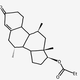 CCC(=O)O[C@H]1CCC2C3C(C4CCC(=O)C=C4C[C@H]3C)[C@@H](C)C[C@@]21C